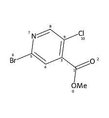 COC(=O)c1cc(Br)ncc1Cl